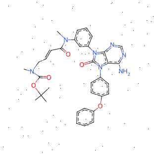 CN(CC=CC(=O)N(C)c1cccc(-n2c(=O)n(-c3ccc(Oc4ccccc4)cc3)c3c(N)ncnc32)c1)C(=O)OC(C)(C)C